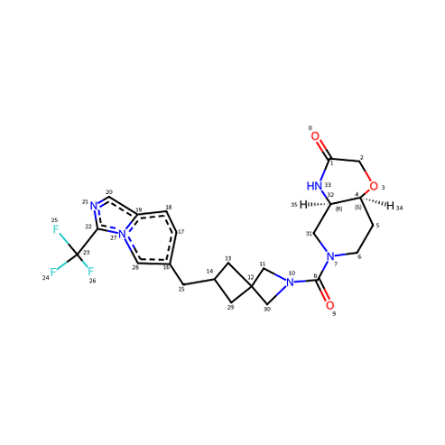 O=C1CO[C@H]2CCN(C(=O)N3CC4(CC(Cc5ccc6cnc(C(F)(F)F)n6c5)C4)C3)C[C@H]2N1